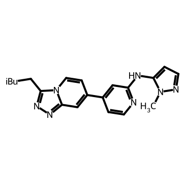 CCC(C)Cc1nnc2cc(-c3ccnc(Nc4ccnn4C)c3)ccn12